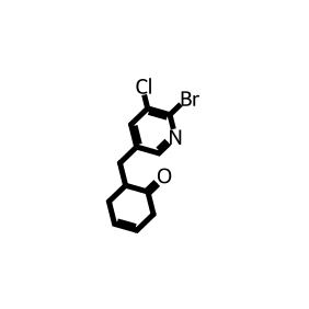 O=C1CC=CCC1Cc1cnc(Br)c(Cl)c1